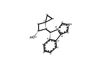 O[C@@H]1CC2(CC2)[C@@H]1[C@H]1c2ccccc2-c2cncn21